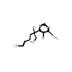 CCCCCC(C)(CC)c1ncnc(C)c1Cl